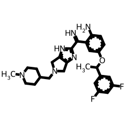 CC(Oc1ccc(N)c(C(=N)c2nc3c([nH]2)CN(CC2CCN(C)CC2)C3)c1)c1cc(F)cc(F)c1